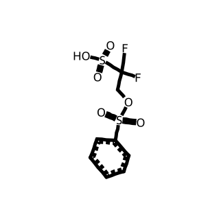 O=S(=O)(OCC(F)(F)S(=O)(=O)O)c1ccccc1